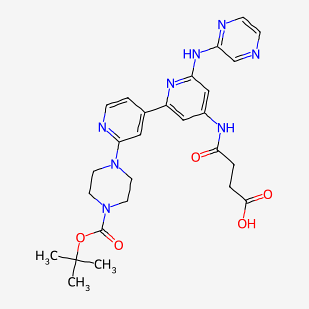 CC(C)(C)OC(=O)N1CCN(c2cc(-c3cc(NC(=O)CCC(=O)O)cc(Nc4cnccn4)n3)ccn2)CC1